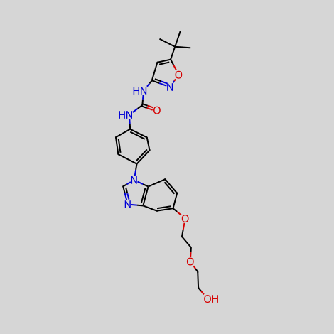 CC(C)(C)c1cc(NC(=O)Nc2ccc(-n3cnc4cc(OCCOCCO)ccc43)cc2)no1